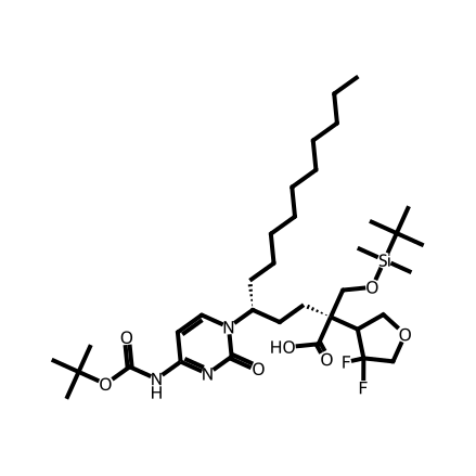 CCCCCCCCCC[C@H](CC[C@@](CO[Si](C)(C)C(C)(C)C)(C(=O)O)C1COCC1(F)F)n1ccc(NC(=O)OC(C)(C)C)nc1=O